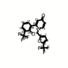 O=c1ccn(Cc2ccc(C(F)(F)F)o2)c(-c2cccc(C(F)(F)F)c2Cl)c1